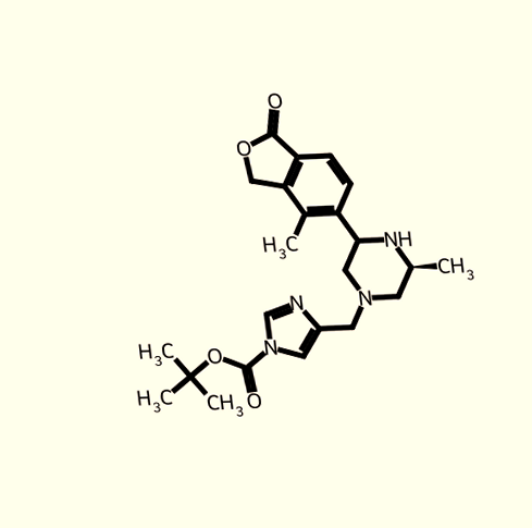 Cc1c(C2CN(Cc3cn(C(=O)OC(C)(C)C)cn3)C[C@H](C)N2)ccc2c1COC2=O